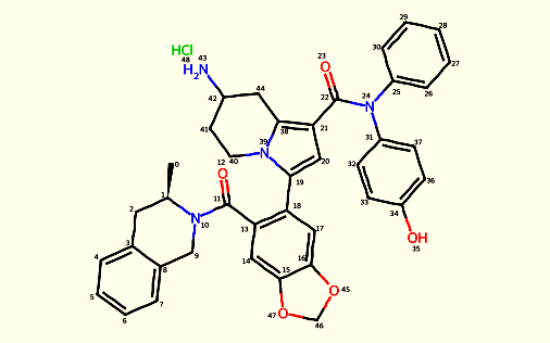 C[C@@H]1Cc2ccccc2CN1C(=O)c1cc2c(cc1-c1cc(C(=O)N(c3ccccc3)c3ccc(O)cc3)c3n1CCC(N)C3)OCO2.Cl